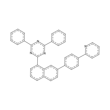 c1ccc(-c2nc(-c3ccccc3)nc(-c3cccc4ccc(-c5ccc(-c6ccccn6)cc5)cc34)n2)cc1